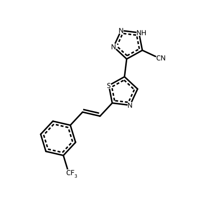 N#Cc1[nH]nnc1-c1cnc(C=Cc2cccc(C(F)(F)F)c2)s1